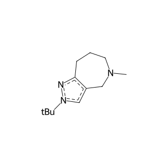 CN1CCCc2nn(C(C)(C)C)cc2C1